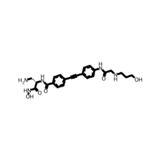 NC[C@H](NC(=O)c1ccc(C#Cc2ccc(NC(=O)CNCCCO)cc2)cc1)C(=O)NO